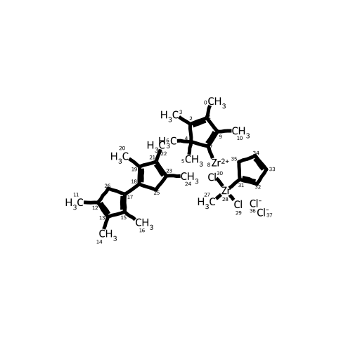 CC1=C(C)C(C)(C)[C]([Zr+2])=C1C.CC1=C(C)C(C)=C(C2=C(C)C(C)=C(C)C2)C1.[CH3][Zr]([Cl])([Cl])[C]1=CC=CC1.[Cl-].[Cl-]